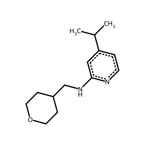 CC(C)c1ccnc(NCC2CCOCC2)c1